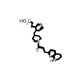 O=C(O)CCc1cnccc1CC1CCN(C(=O)CCc2ccc3c(n2)NCCC3)CC1